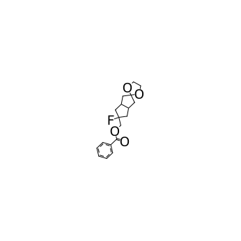 O=C(OCC1(F)CC2CC3(CC2C1)OCCO3)c1ccccc1